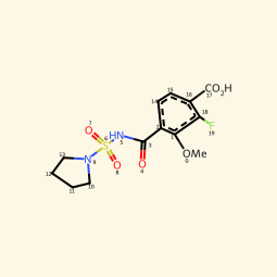 COc1c(C(=O)NS(=O)(=O)N2CCCC2)ccc(C(=O)O)c1F